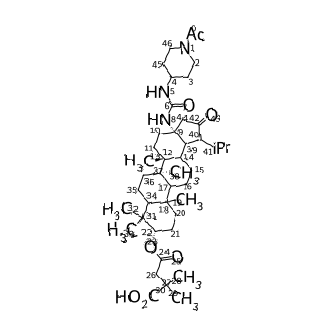 CC(=O)N1CCC(NC(=O)N[C@@]23CC[C@]4(C)C(CCC5C6(C)CC[C@H](OC(=O)CC(C)(C)C(=O)O)C(C)(C)C6CC[C@]54C)C2C(C(C)C)C(=O)C3)CC1